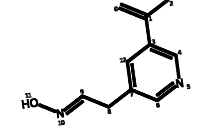 C=C(C)c1cncc(CC=NO)c1